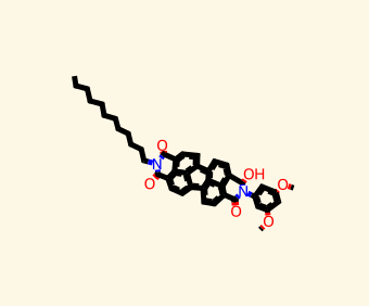 CCCCCCCCCCCCN1C(=O)c2ccc3c4ccc5c6c(ccc(c7ccc(c2c37)C1=O)c64)C(O)N(c1cc(OC)cc(OC)c1)C5=O